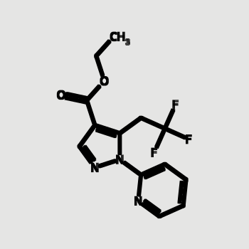 CCOC(=O)c1cnn(-c2ccccn2)c1CC(F)(F)F